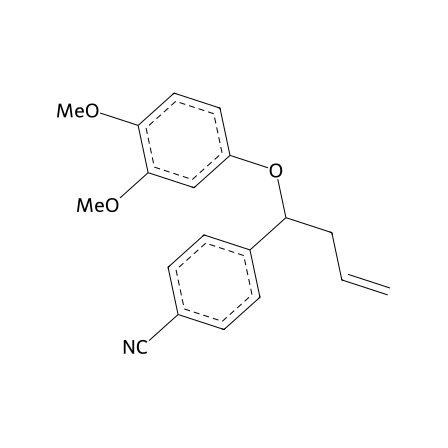 C=CCC(Oc1ccc(OC)c(OC)c1)c1ccc(C#N)cc1